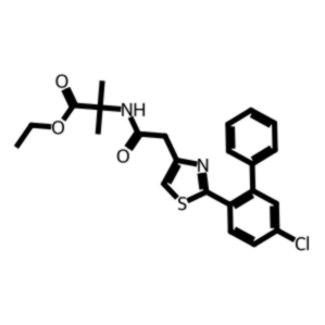 CCOC(=O)C(C)(C)NC(=O)Cc1csc(-c2ccc(Cl)cc2-c2ccccc2)n1